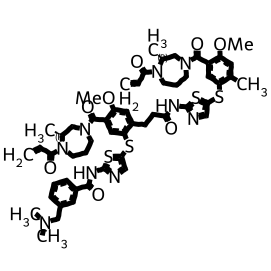 C=CC(=O)N1CCCN(C(=O)c2cc(Sc3cnc(NC(=O)CCc4cc(OC)c(C(=O)N5CCCN(C(=O)C=C)[C@H](C)C5)cc4Sc4cnc(NC(=O)c5cccc(CN(C)C)c5)s4)s3)c(C)cc2OC)C[C@H]1C